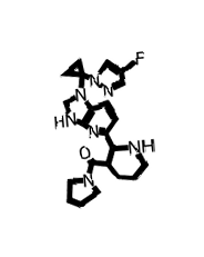 O=C(C1CCCNC1c1ccc2c(n1)NCN2C1(n2cc(F)cn2)CC1)N1CCCC1